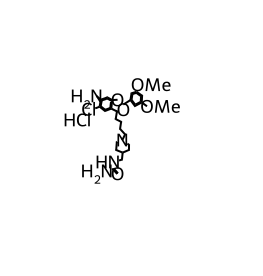 COc1cc(COc2cc(N)c(Cl)cc2C(=O)CCCCN2CCC(CNC(N)=O)CC2)cc(OC)c1.Cl